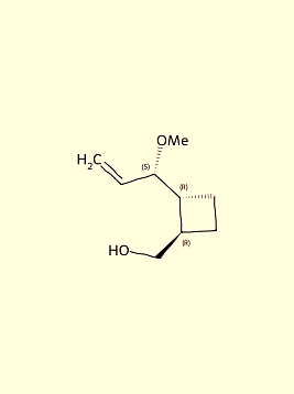 C=C[C@H](OC)[C@@H]1CC[C@H]1CO